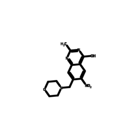 Cc1nc(O)c2cc([N+](=O)[O-])c(CN3CCOCC3)cc2n1